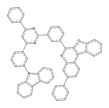 c1ccc(-c2ccc3c(c2)nc(-c2cccc(-c4nc(-c5ccccc5)cc(-c5cccc(-n6c7ccccc7c7ccccc76)c5)n4)c2)c2oc4ccccc4c23)cc1